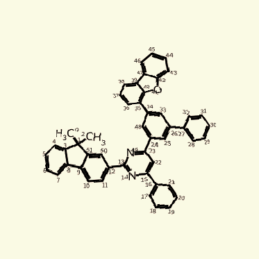 CC1(C)c2ccccc2-c2ccc(-c3nc(-c4ccccc4)cc(-c4cc(-c5ccccc5)cc(-c5cccc6c5oc5ccccc56)c4)n3)cc21